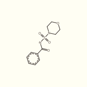 O=C([N]S(=O)(=O)N1CCOCC1)c1ccccc1